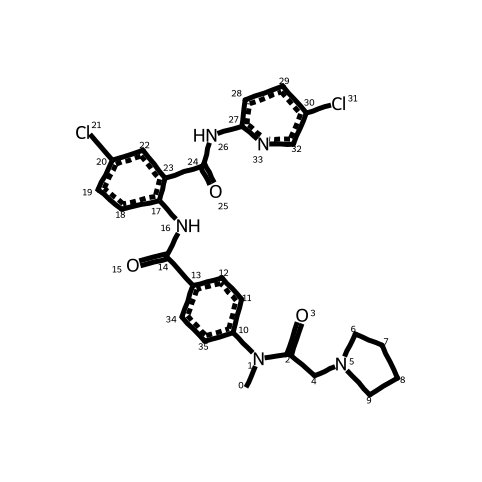 CN(C(=O)CN1CCCC1)c1ccc(C(=O)Nc2ccc(Cl)cc2C(=O)Nc2ccc(Cl)cn2)cc1